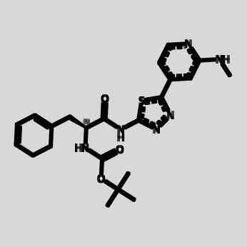 CNc1cc(-c2nnc(NC(=O)[C@H](CC3=CC=CCC3)NC(=O)OC(C)(C)C)s2)ccn1